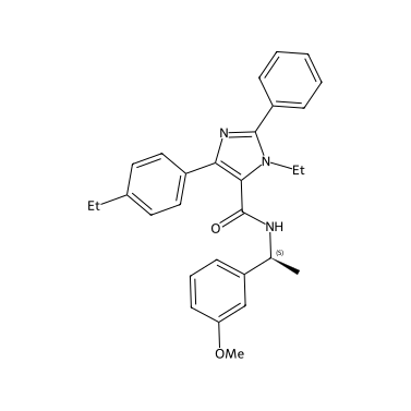 CCc1ccc(-c2nc(-c3ccccc3)n(CC)c2C(=O)N[C@@H](C)c2cccc(OC)c2)cc1